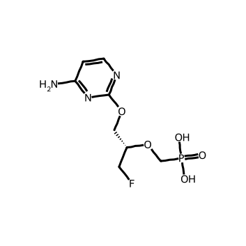 Nc1ccnc(OC[C@@H](CF)OCP(=O)(O)O)n1